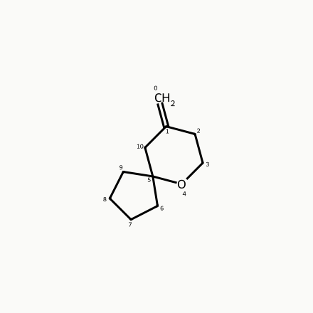 C=C1CCOC2(CCCC2)C1